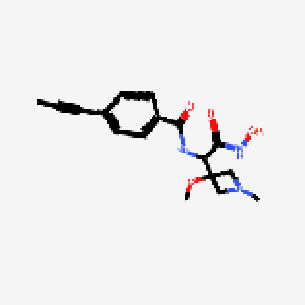 CC#Cc1ccc(C(=O)NC(C(=O)NO)C2(OC)CN(C)C2)cc1